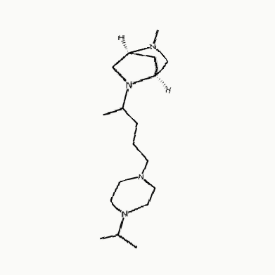 CC(C)N1CCN(CCCC(C)N2C[C@@H]3C[C@H]2CN3C)CC1